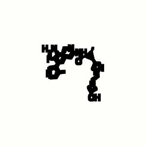 Cc1ccncc1-c1cc2cc(NC(=O)[C@@H]3[C@H](C)[C@H]3c3cnn(CCN4CC(O)C4)c3)ncc2c(N)c1F